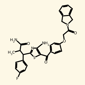 CC(C(N)=O)C(c1ccc(F)cc1)c1nc(N)c(C(=O)c2ccc(OCC(=O)N3Cc4ccccc4C3)cc2)s1